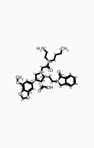 CCCCN(CCN)C(=O)CN1C[C@H](c2cc(OC)c3c(c2)OCO3)[C@@H](C(=O)O)[C@@H]1CCN1Cc2ccccc2C1=O